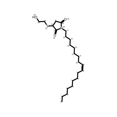 CCCCCCCC/C=C\CCCCCCCCN1C(=O)CC(SCCO)C1=O